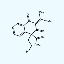 COC(=O)C1(CCC(C)C)C(=O)C(=C(SC)SC)C(=O)c2ccccc21